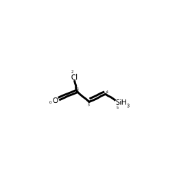 O=C(Cl)C=C[SiH3]